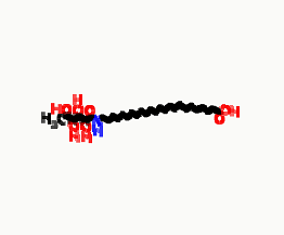 C[C@@H](O)[C@@H](O)[C@H](O)[C@@H](O)C(=O)NCCCCCCCCCCCCCCCCCCCCCCCC(=O)O